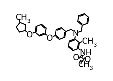 Cc1c(NS(C)(=O)=O)cccc1N(Cc1ccccc1)Cc1ccc(Oc2cccc(OC3CCC(C)C3)c2)cc1